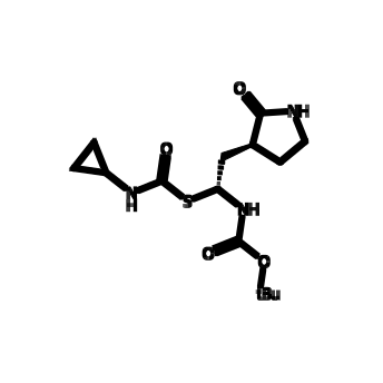 CC(C)(C)OC(=O)N[C@@H](C[C@@H]1CCNC1=O)SC(=O)NC1CC1